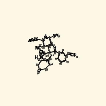 CSc1nc(N)nc([C@@](CN2CCOCC2)(Nc2cccc(C(F)(F)F)c2)C(N)=O)c1C#N